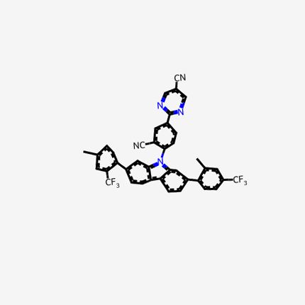 Cc1ccc(-c2ccc3c4ccc(-c5ccc(C(F)(F)F)cc5C)cc4n(-c4ccc(-c5ncc(C#N)cn5)cc4C#N)c3c2)c(C(F)(F)F)c1